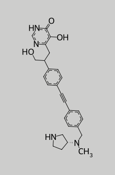 CN(Cc1ccc(C#Cc2ccc(C(CO)Cc3nc[nH]c(=O)c3O)cc2)cc1)[C@@H]1CCNC1